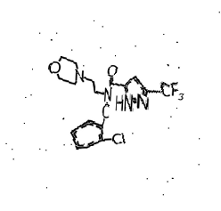 O=C(c1cc(C(F)(F)F)n[nH]1)N(CCN1CCOCC1)Cc1ccccc1Cl